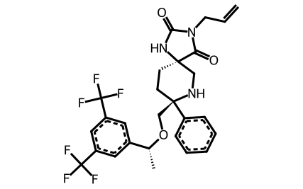 C=CCN1C(=O)N[C@@]2(CC[C@@](CO[C@H](C)c3cc(C(F)(F)F)cc(C(F)(F)F)c3)(c3ccccc3)NC2)C1=O